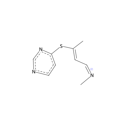 C/N=C\C=C(C)Sc1ccncn1